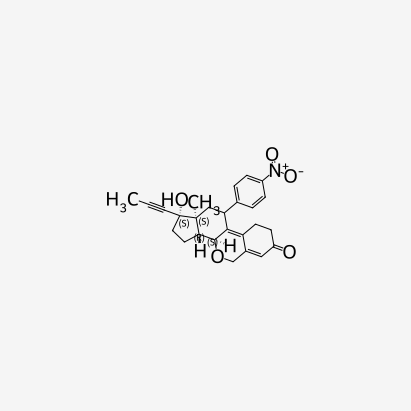 CC#C[C@]1(O)CC[C@H]2[C@@H]3OCC4=CC(=O)CCC4=C3C(c3ccc([N+](=O)[O-])cc3)C[C@@]21C